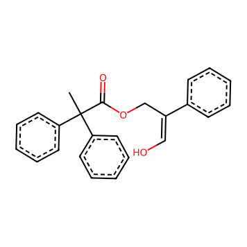 CC(C(=O)OCC(=CO)c1ccccc1)(c1ccccc1)c1ccccc1